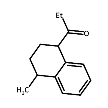 CCC(=O)C1CCC(C)c2ccccc21